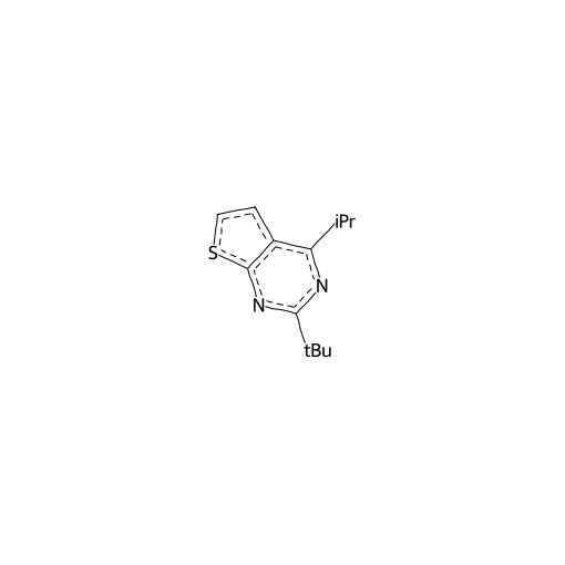 CC(C)c1nc(C(C)(C)C)nc2sccc12